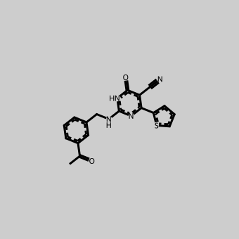 CC(=O)c1cccc(CNc2nc(-c3cccs3)c(C#N)c(=O)[nH]2)c1